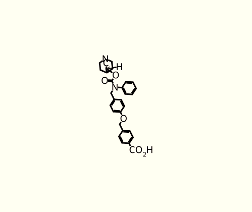 O=C(O)c1ccc(COc2ccc(CN(C(=O)O[C@H]3CN4CCC3CC4)c3ccccc3)cc2)cc1